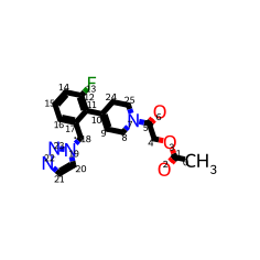 CC(=O)OCC(=O)N1CC=C(c2c(F)cccc2[CH]n2ccnn2)CC1